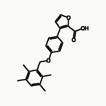 Cc1cc(C)c(C)c(COc2ccc(-c3ccoc3C(=O)O)cc2)c1C